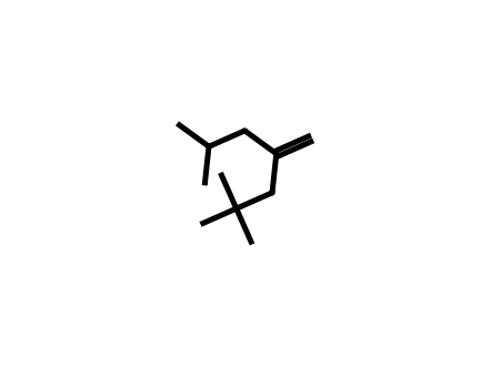 C=C(CC(C)C)CC(C)(C)C